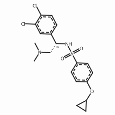 CN(C)C[C@@H](NS(=O)(=O)c1ccc(OC2CC2)cc1)c1ccc(Cl)c(Cl)c1